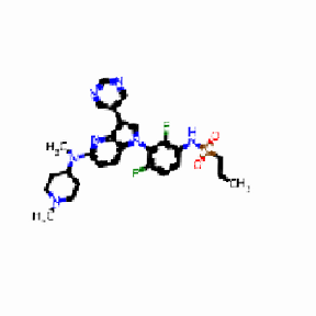 CCCS(=O)(=O)Nc1ccc(F)c(-n2cc(-c3cncnc3)c3nc(N(C)C4CCN(C)CC4)ccc32)c1F